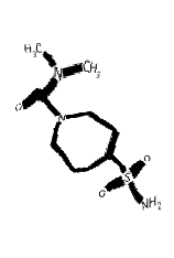 CN(C)C(=O)N1CCC(S(N)(=O)=O)CC1